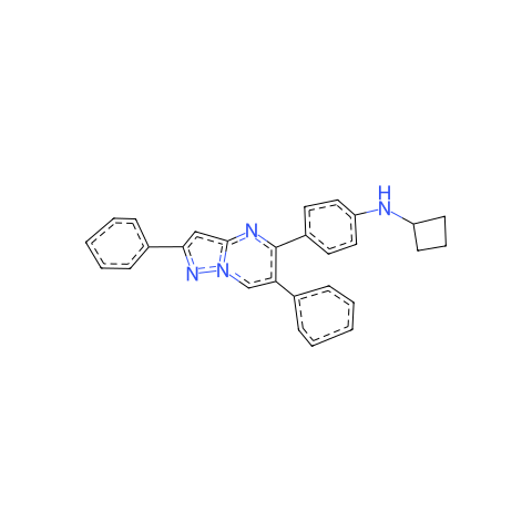 c1ccc(-c2cc3nc(-c4ccc(NC5CCC5)cc4)c(-c4ccccc4)cn3n2)cc1